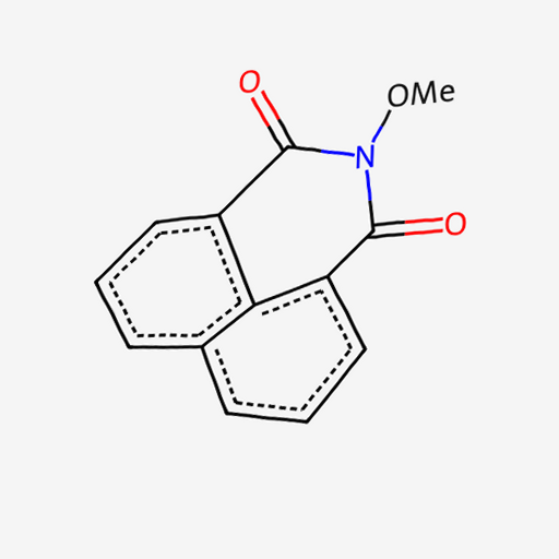 CON1C(=O)c2cccc3cccc(c23)C1=O